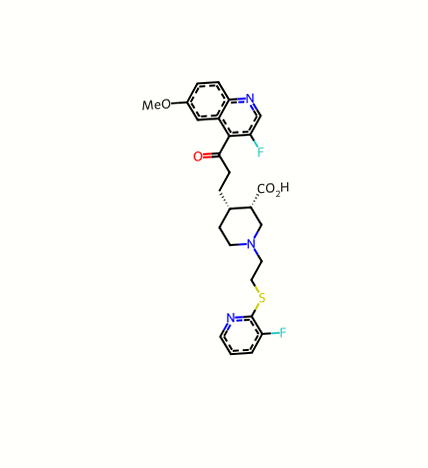 COc1ccc2ncc(F)c(C(=O)CC[C@H]3CCN(CCSc4ncccc4F)C[C@H]3C(=O)O)c2c1